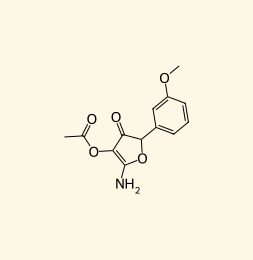 COc1cccc(C2OC(N)=C(OC(C)=O)C2=O)c1